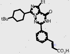 CCc1nc(C2CCC(C(C)(C)C)CC2)n2nc(-c3cccc(/C=C/C(=O)O)c3)[nH]c(=O)c12